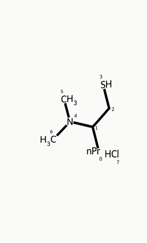 CCCC(CS)N(C)C.Cl